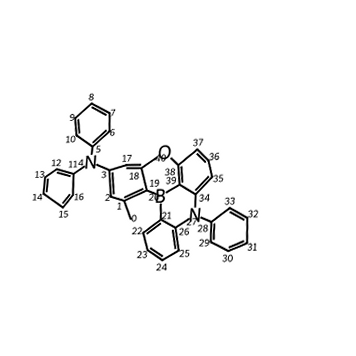 Cc1cc(N(c2ccccc2)c2ccccc2)cc2c1B1c3ccccc3N(c3ccccc3)c3cccc(c31)O2